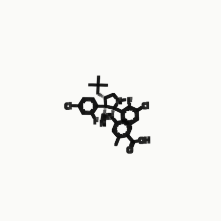 Cc1cc(N[C@@]2(c3cccc(Cl)c3F)N(C)C[C@@H](CC(C)(C)C)[C@]2(C#N)c2ccc(Cl)cc2F)ccc1C(=O)O